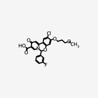 COCCCOc1cc2c(cc1Cl)-c1cc(=O)c(C(=O)O)cn1C(c1cccc(F)c1)O2